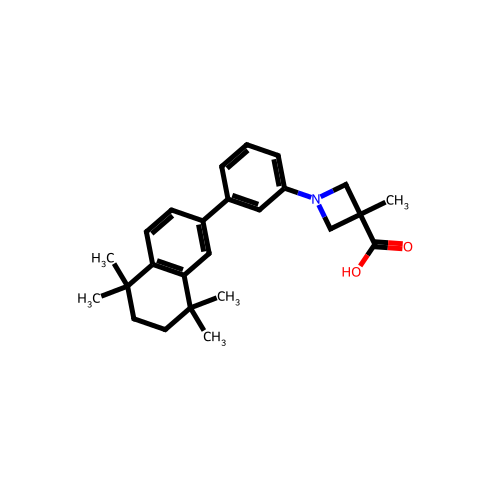 CC1(C(=O)O)CN(c2cccc(-c3ccc4c(c3)C(C)(C)CCC4(C)C)c2)C1